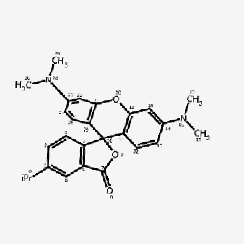 CC(C)c1ccc2c(c1)C(=O)OC21c2ccc(N(C)C)cc2Oc2cc(N(C)C)ccc21